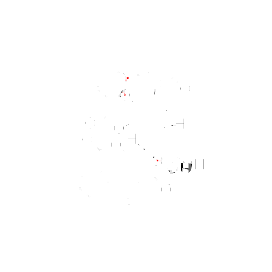 C=C[C@@]1(C)C[C@@H](OC(=O)c2ccccc2)[C@H]2[C@](O)(C1=O)[C@H](O)C[C@H]1C(C)(C)[C@H](OC(C)=O)[C@H](OC(C)=O)[C@H](OC(=O)c3ccccc3)[C@@]12COC(C)=O